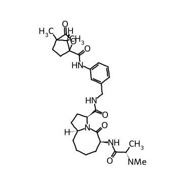 CN[C@@H](C)C(=O)N[C@H]1CCCC[C@H]2CC[C@@H](C(=O)NCc3cccc(NC(=O)C45CCC(C)(C(=O)O4)[C@@H]5C)c3)N2C1=O